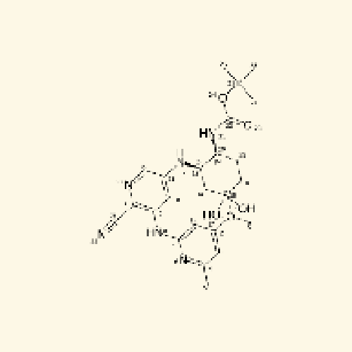 COc1cc(C)nc(Nc2cc(N[C@@H]3CS(O)(O)CC[C@@H]3NC(=O)OC(C)(C)C)cnc2C#N)c1